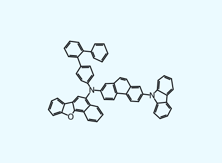 c1ccc(-c2ccccc2-c2ccc(N(c3ccc4c(ccc5cc(-n6c7ccccc7c7ccccc76)ccc54)c3)c3cc4c5ccccc5oc4c4ccccc34)cc2)cc1